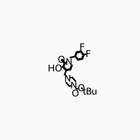 CC(C)(C)OC(=O)N1CCN(Cc2ccn(Cc3ccc(F)c(F)c3)c(=O)c2O)CC1